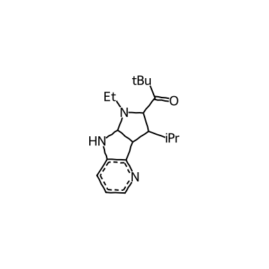 CCN1C2Nc3cccnc3C2C(C(C)C)C1C(=O)C(C)(C)C